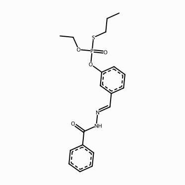 CCCSP(=O)(OCC)Oc1cccc(C=NNC(=O)c2ccccc2)c1